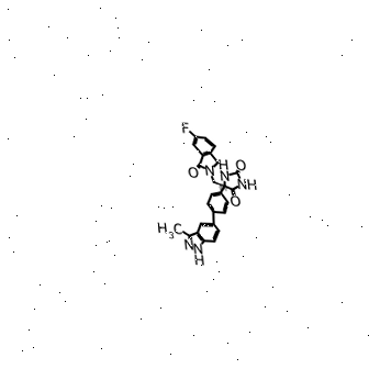 Cc1n[nH]c2ccc(-c3ccc([C@]4(CN5Cc6ccc(F)cc6C5=O)NC(=O)NC4=O)cc3)cc12